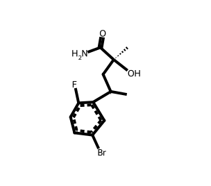 C[C](C[C@](C)(O)C(N)=O)c1cc(Br)ccc1F